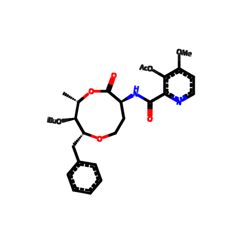 COc1ccnc(C(=O)N[C@H]2CCO[C@H](Cc3ccccc3)[C@@H](OCC(C)C)[C@H](C)OC2=O)c1OC(C)=O